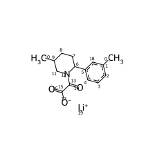 Cc1cccc(C2CCC(C)CN2C(=O)C(=O)[O-])c1.[Li+]